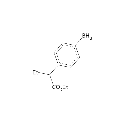 Bc1ccc(C(CC)C(=O)OCC)cc1